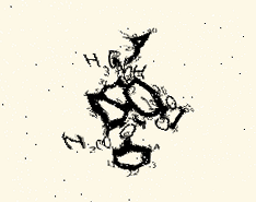 COc1ccc2c(c1Oc1ccccc1)[C@]1(CI)CC3(CC[C@]1(O)C(N(C)CC1CC1)C2)OCCO3